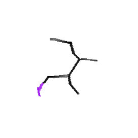 CCC(C)C(C)CI